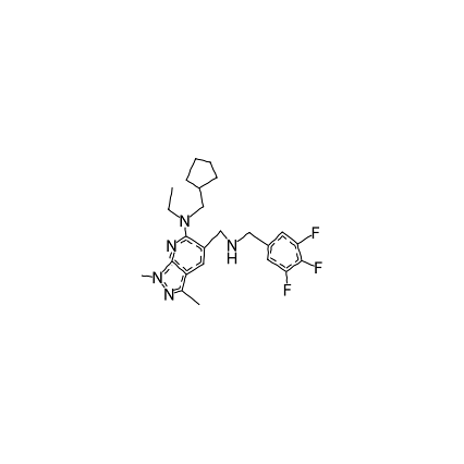 CCN(CC1CCCC1)c1nc2c(cc1CNCc1cc(F)c(F)c(F)c1)c(C)nn2C